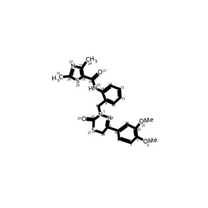 COc1ccc(C2=NN(Cc3ccccc3NC(=O)c3sc(C)nc3C)C(=O)SC2)cc1OC